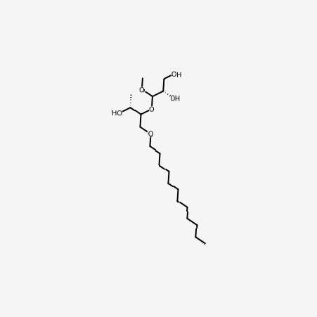 CCCCCCCCCCCCOCC(OC(OC)[C@@H](O)CO)[C@@H](C)O